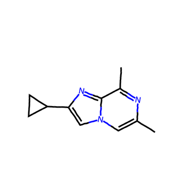 Cc1cn2cc(C3CC3)nc2c(C)n1